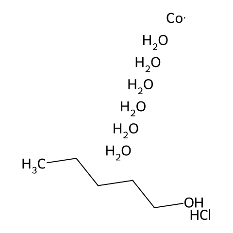 CCCCCO.Cl.O.O.O.O.O.O.[Co]